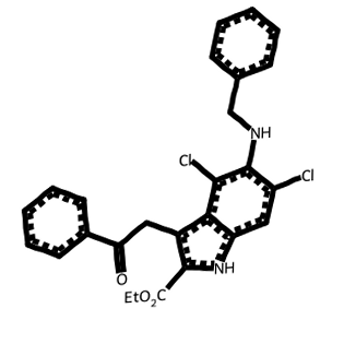 CCOC(=O)c1[nH]c2cc(Cl)c(NCc3ccccc3)c(Cl)c2c1CC(=O)c1ccccc1